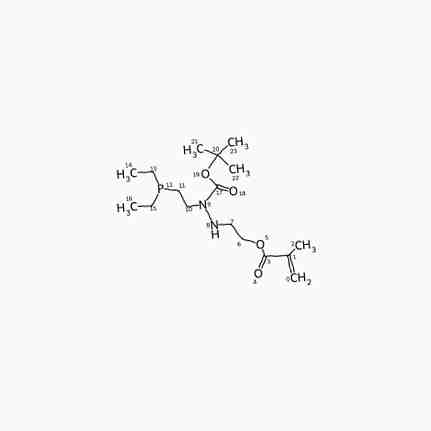 C=C(C)C(=O)OCCNN(CCP(CC)CC)C(=O)OC(C)(C)C